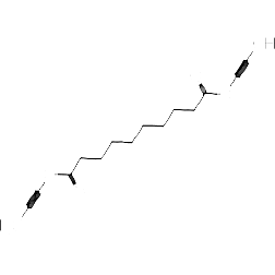 CC#COC(=O)CCCCCCCCC(=O)OC#CC